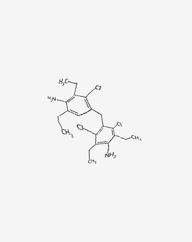 CCc1cc(Cc2c(Cl)c(CC)c(N)c(CC)c2Cl)c(Cl)c(CC)c1N